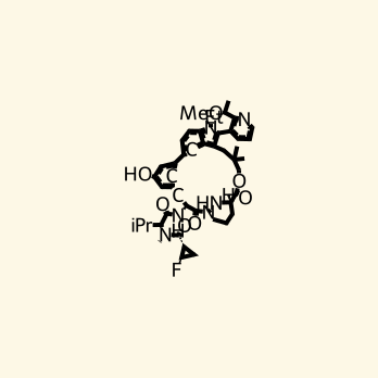 CCn1c(-c2cccnc2[C@H](C)OC)c2c3cc(ccc31)-c1cc(O)cc(c1)C[C@H](NC(=O)C(C(C)C)N(C)C(=O)[C@@H]1C[C@@H]1F)C(=O)N1CCC[C@H](N1)C(=O)OCC(C)(C)C2